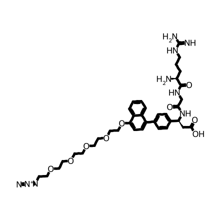 [N-]=[N+]=NCCOCCOCCOCCOCCOc1ccc(-c2ccc([C@H](CC(=O)O)NC(=O)CNC(=O)[C@@H](N)CCCNC(=N)N)cc2)c2ccccc12